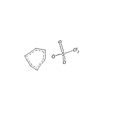 [O]S(=O)(=O)C(F)(F)F.c1ccccc1